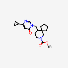 CC(C)(C)OC(=O)N1CCC(Cn2cnc(C3CC3)cc2=O)C2(CCCC2)C1